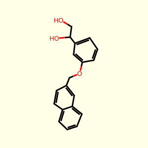 OCC(O)c1cccc(OCc2ccc3ccccc3c2)c1